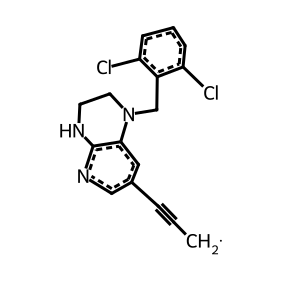 [CH2]C#Cc1cnc2c(c1)N(Cc1c(Cl)cccc1Cl)CCN2